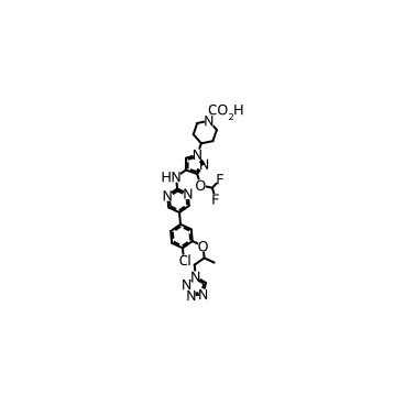 CC(Cn1cnnn1)Oc1cc(-c2cnc(Nc3cn(C4CCN(C(=O)O)CC4)nc3OC(F)F)nc2)ccc1Cl